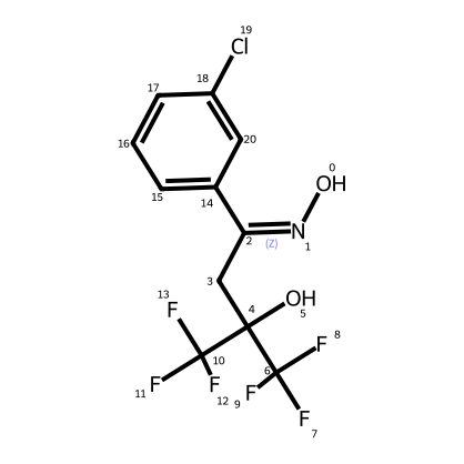 O/N=C(/CC(O)(C(F)(F)F)C(F)(F)F)c1cccc(Cl)c1